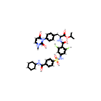 CC(C)OC(=O)[C@H](Cc1ccc(-n2c(=O)ccn(C)c2=O)cc1)NC(=O)c1c(F)cc(NS(=O)(=O)c2ccc(C(=O)NC3CCCCC3)cc2)cc1F